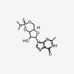 Cc1nc2c(ncn2[C@@H]2O[C@@H]3COP(=S)(N(C)C)OC3C2O)c(=O)[nH]1